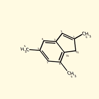 CC1=Cc2cc(C)cc(C)c2[C]1